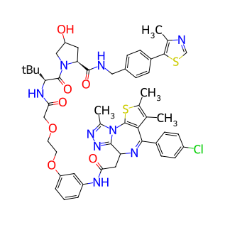 Cc1ncsc1-c1ccc(CNC(=O)[C@@H]2CC(O)CN2C(=O)[C@@H](NC(=O)COCCOc2cccc(NC(=O)CC3N=C(c4ccc(Cl)cc4)c4c(sc(C)c4C)-n4c(C)nnc43)c2)C(C)(C)C)cc1